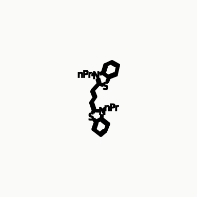 CCCN1C(=CC=Cc2sc3ccccc3[n+]2CCC)Sc2ccccc21